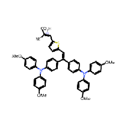 COc1ccc(N(c2ccc(OC)cc2)c2ccc(C(=Cc3ccc(/C=C(\C#N)C(=O)O)s3)c3ccc(N(c4ccc(OC)cc4)c4ccc(OC)cc4)cc3)cc2)cc1